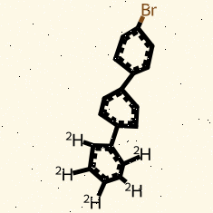 [2H]c1c([2H])c([2H])c(-c2ccc(-c3ccc(Br)cc3)cc2)c([2H])c1[2H]